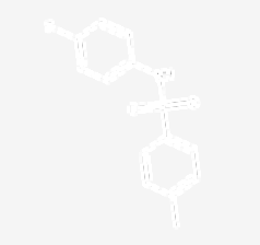 Cc1ccc(S(=O)(=O)Nc2ccc(F)cc2)cc1